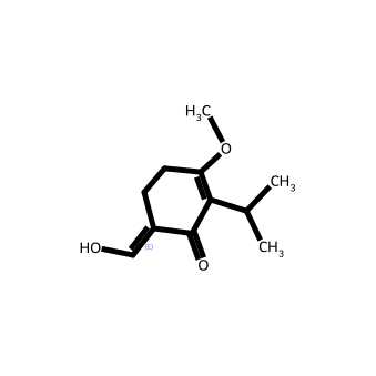 COC1=C(C(C)C)C(=O)/C(=C/O)CC1